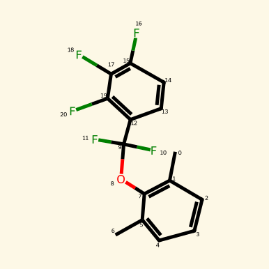 Cc1cccc(C)c1OC(F)(F)c1ccc(F)c(F)c1F